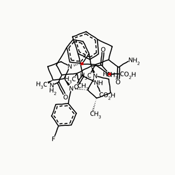 C[C@H]1CCN([C@]2(C(=O)NC(=O)O)c3ccc(cc3)CC(C(N)=O)C2(C)C)[C@H]1N(c1ccc(F)cc1)[C@H]1[C@@H](C)CCN1[C@]1(C(=O)NC(=O)O)c2ccc(cc2)CC(C(N)=O)C1(C)C